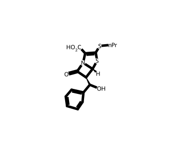 CCCSC1=C(C(=O)O)N2C(=O)[C@H](C(O)c3ccccc3)[C@H]2S1